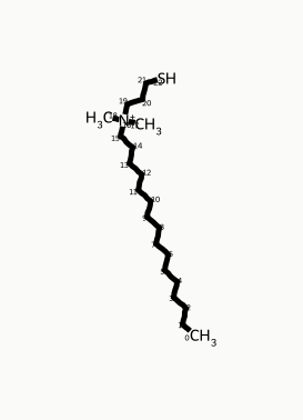 CCCCCCCCCCCCCCCC[N+](C)(C)CCCS